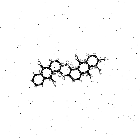 O=c1c2ccccc2c(=O)c2c1ccc1[nH]c3c(ccc4c(=O)c5c(F)c(F)ccc5c(=O)c43)[nH]c12